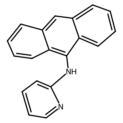 c1ccc(Nc2c3ccccc3cc3ccccc23)nc1